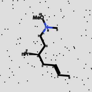 C/C=C/C[C@@H](CCC)CCN(C)OC